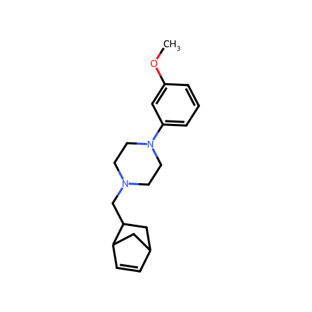 COc1cccc(N2CCN(CC3CC4C=CC3C4)CC2)c1